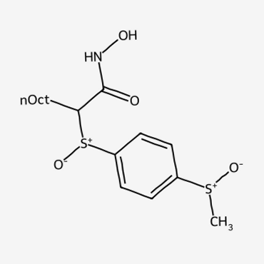 CCCCCCCCC(C(=O)NO)[S+]([O-])c1ccc([S+](C)[O-])cc1